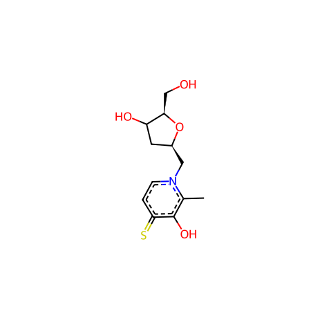 Cc1c(O)c(=S)ccn1C[C@H]1CC(O)[C@@H](CO)O1